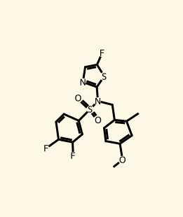 COc1ccc(CN(c2ncc(F)s2)S(=O)(=O)c2ccc(F)c(F)c2)c(C)c1